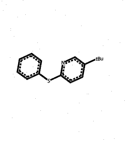 CC(C)(C)c1ccc(Sc2ccccc2)nc1